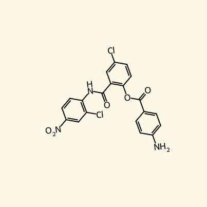 Nc1ccc(C(=O)Oc2ccc(Cl)cc2C(=O)Nc2ccc([N+](=O)[O-])cc2Cl)cc1